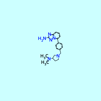 CN(C)C1CCN(Cc2ccc(-c3cccc4nc(N)nn34)cc2)C1